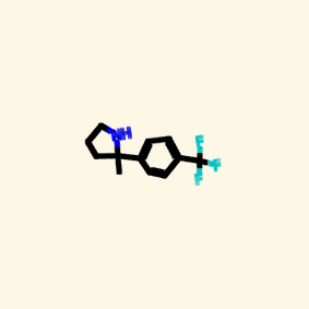 CC1(c2ccc(C(F)(F)F)cc2)CCCN1